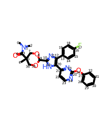 CN(C)C(=O)C1(C)COC(c2nc(-c3ccc(F)cc3)c(-c3ccnc(Oc4ccccc4)n3)[nH]2)OC1